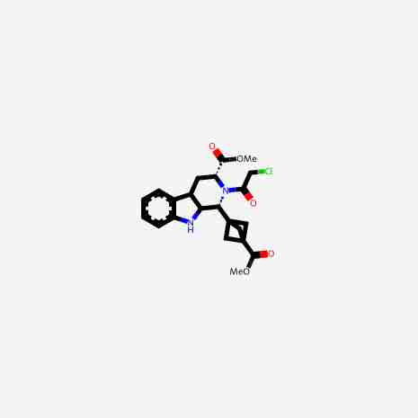 COC(=O)[C@H]1CC2c3ccccc3NC2[C@@H](C23CC(C(=O)OC)(C2)C3)N1C(=O)CCl